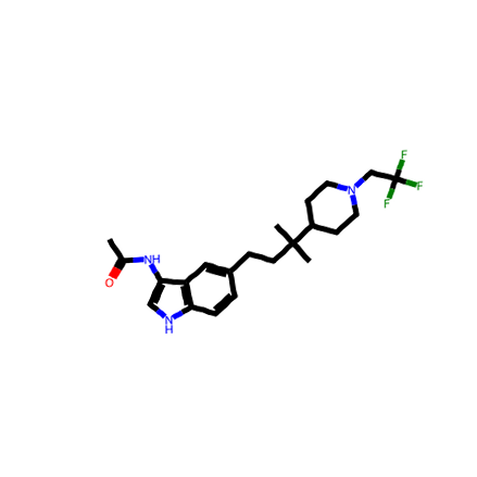 CC(=O)Nc1c[nH]c2ccc(CCC(C)(C)C3CCN(CC(F)(F)F)CC3)cc12